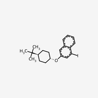 CC(C)(C)[C@H]1CC[C@H](Oc2cc(I)c3ccccc3c2)CC1